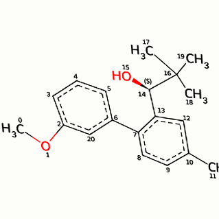 COc1cccc(-c2ccc(C)cc2[C@@H](O)C(C)(C)C)c1